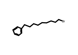 BrCCCCCCCCCc1ccccc1